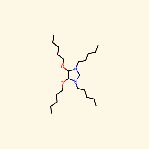 CCCCCOC1C(OCCCCC)N(CCCCC)CN1CCCCC